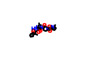 Cc1cccc(S(=O)(=O)N2CCCC(NC(=O)[C@H](CC(C)C)NC(=O)c3oc4ccccc4c3C)C(=O)C2)n1